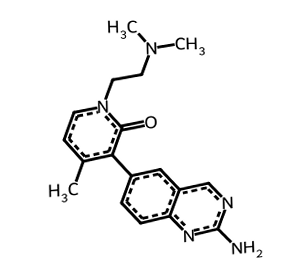 Cc1ccn(CCN(C)C)c(=O)c1-c1ccc2nc(N)ncc2c1